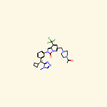 CC(=O)N1CCN(Cc2cc(C(F)(F)F)c3cn(-c4cccc([C@@H](c5nncn5C)C5CCC5)c4)c(=O)n3c2)CC1